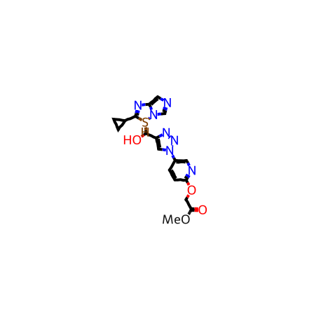 COC(=O)COc1ccc(-n2cc(C(O)[SH]3C(C4CC4)=Nc4cncn43)nn2)cn1